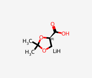 CC1(C)OC[C@H](C(=O)O)O1.[LiH]